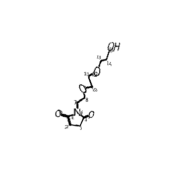 O=C1CCC(=O)N1CCOCCOCCO